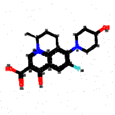 C[C@@H]1CCc2c(N3CCC(O)CC3)c(F)cc3c(=O)c(C(=O)O)cn1c23